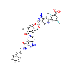 O=C(O)c1cc(F)cc(C2Cc3[nH]nc(C(=O)Oc4cc(F)c(C(=O)N5CCc6[nH]nc(C(=O)NCCCc7ccccc7)c6C5)cc4F)c3CN2)c1F